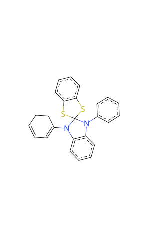 C1=CCCC(N2c3ccccc3N(c3ccccc3)C23Sc2ccccc2S3)=C1